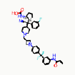 C=CC(=O)Nc1cccc(C(F)(F)c2ccc(N3CC(CN4CCC([C@@](C#N)(c5cccc(F)c5)[C@H]5CCC[C@@H]5NC(=O)O)CC4)C3)cc2)c1